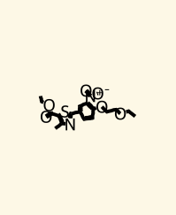 CCOCCOc1ccc(-c2nc(C)c(C(=O)OCC)s2)cc1[N+](=O)[O-]